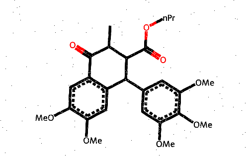 CCCOC(=O)C1C(C)C(=O)c2cc(OC)c(OC)cc2C1c1cc(OC)c(OC)c(OC)c1